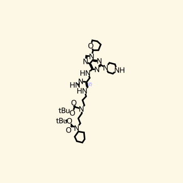 CC(C)(C)OC(=O)N(CCCN/C=C(/CNc1nc(N2CCNCC2)nc2c1ncn2C1CCCCO1)N=N)CCCN(C(=O)OC(C)(C)C)C1CCCCC1